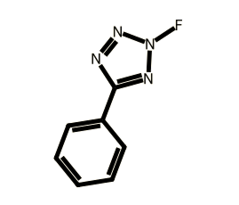 Fn1nnc(-c2ccccc2)n1